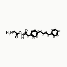 NCC(=O)ONC(=O)Cc1ccc(CCCCc2ccccc2)cc1